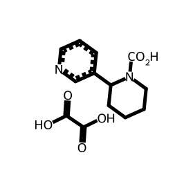 O=C(O)C(=O)O.O=C(O)N1CCCCC1c1cccnc1